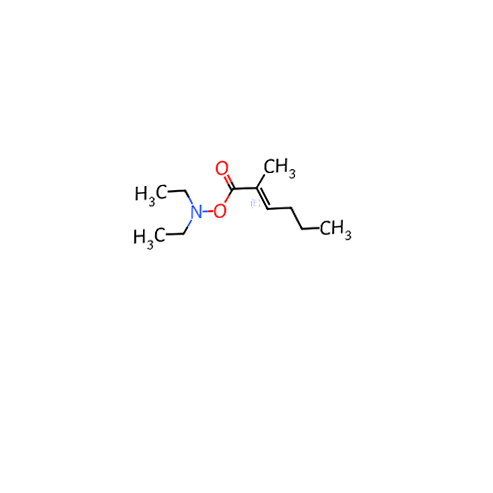 CCC/C=C(\C)C(=O)ON(CC)CC